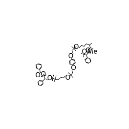 COC(C)(C)C(COC(C)C(C)CCCCOC(C)(C)CCOc1ccc(OCCC(C)(C)OCCCCC(C)(C)C(C)(C)OCC(c2ccccc2)C(C)(C)OC(=O)c2ccccc2)cc1)c1ccccc1